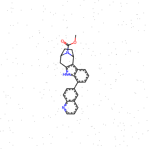 COC(=O)N1C2CCC1c1c([nH]c3c(-c4ccc5ncccc5c4)cccc13)C2